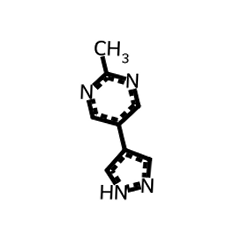 Cc1ncc(-c2cn[nH]c2)cn1